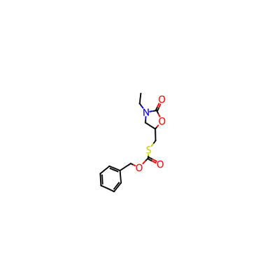 CCN1CC(CSC(=O)OCc2ccccc2)OC1=O